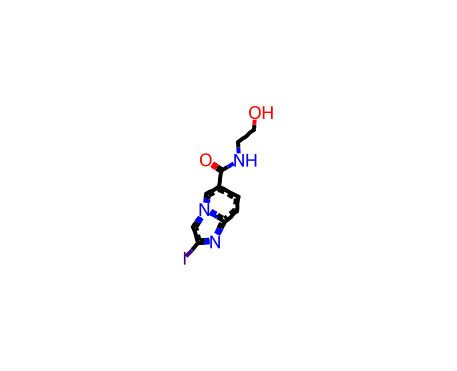 O=C(NCCO)c1ccc2nc(I)cn2c1